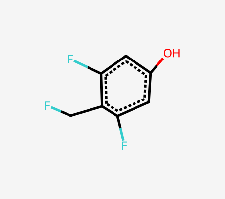 Oc1cc(F)c(CF)c(F)c1